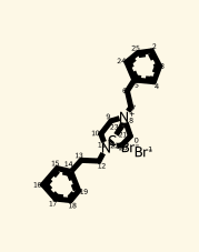 [Br-].[Br-].c1ccc(CC[N+]23CC[N+](CCc4ccccc4)(CC2)CC3)cc1